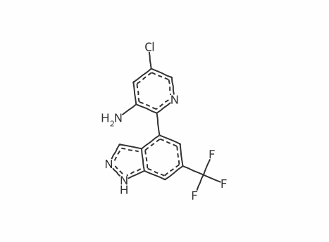 Nc1cc(Cl)cnc1-c1cc(C(F)(F)F)cc2[nH]ncc12